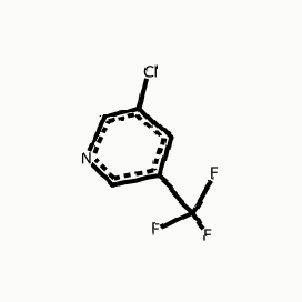 FC(F)(F)c1cn[c]c(Cl)c1